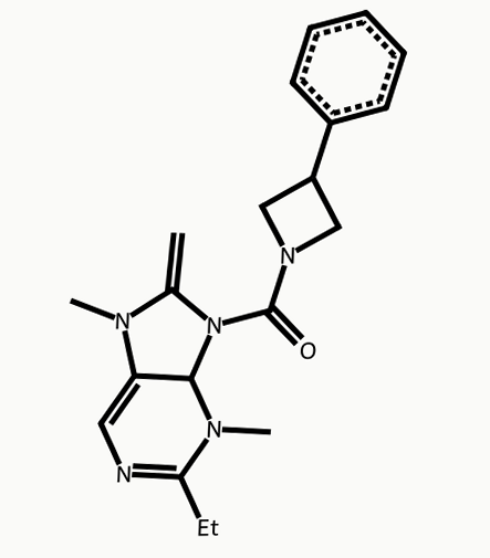 C=C1N(C)C2=CN=C(CC)N(C)C2N1C(=O)N1CC(c2ccccc2)C1